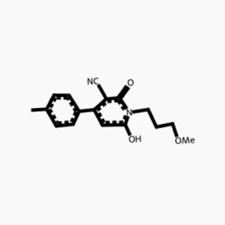 COCCCn1c(O)cc(-c2ccc(C)cc2)c(C#N)c1=O